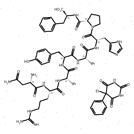 CC(C)[C@H](NC(=O)[C@H](CCCNC(=N)N)NC(=O)[C@@H](N)CC(N)=O)C(=O)N[C@@H](Cc1ccc(O)cc1)C(=O)N[C@H](C(=O)N[C@@H](Cc1cnc[nH]1)C(=O)N1CCC[C@H]1C(=O)N[C@@H](Cc1ccccc1)C(=O)O)C(C)C.CCC1(c2ccccc2)C(=O)NC(=O)NC1=O